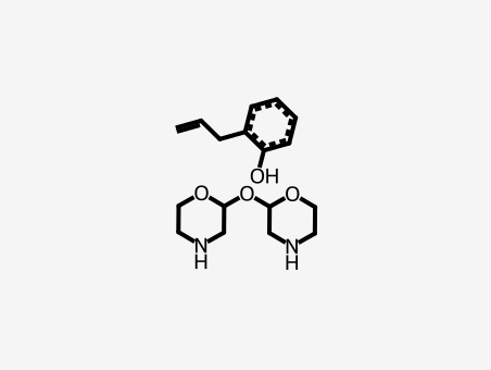 C1COC(OC2CNCCO2)CN1.C=CCc1ccccc1O